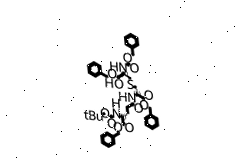 CC(C)(C)OC(=O)N[C@H](CCC(=O)N[C@H](CSC[C@H](NC(=O)OCc1ccccc1)C(O)OCc1ccccc1)C(=O)OCc1ccccc1)C(=O)OCc1ccccc1